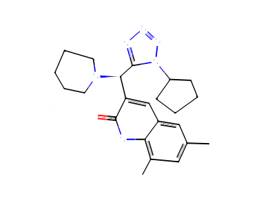 Cc1cc(C)c2[nH]c(=O)c([C@H](c3nnnn3C3CCCC3)N3CCC[C@@H](C)C3)cc2c1